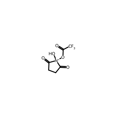 O=C(O[N+]1(O)C(=O)CCC1=O)C(F)(F)F